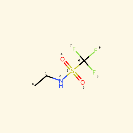 [CH2]CNS(=O)(=O)C(F)(F)F